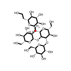 CC(C)[C@@H]1O[C@H](CO)[C@@H](O)[C@H](O[C@@H]2O[C@H](CO)[C@@H](O)[C@H](O)[C@H]2O)[C@H]1O[C@@H]1O[C@H](CO)[C@@H](O)[C@H](O)[C@H]1O[C@@H]1O[C@H](CCO)[C@@H](O)[C@H](O)[C@H]1O